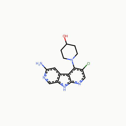 Nc1cc2c(cn1)[nH]c1ncc(Cl)c(N3CCC(O)CC3)c12